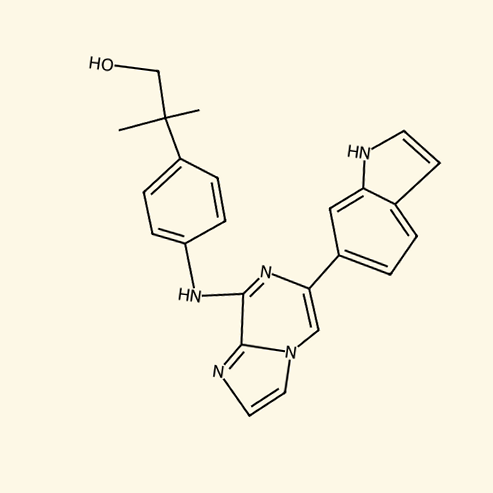 CC(C)(CO)c1ccc(Nc2nc(-c3ccc4cc[nH]c4c3)cn3ccnc23)cc1